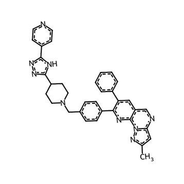 Cc1cc2ncc3cc(-c4ccccc4)c(-c4ccc(CN5CCC(c6nnc(-c7ccncc7)[nH]6)CC5)cc4)nc3n2n1